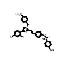 CCCCc1ccc(S(=O)(=O)Nc2ccc(C=Cc3nc(-c4ccc(Cl)cc4Cl)cn3Cc3ccc(C(=O)O)cc3)cc2)cc1